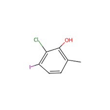 Cc1ccc(I)c(Cl)c1O